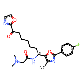 CN(C)CC(=O)N[C@@H](CCCCCC(=O)c1ncco1)c1oc(-c2ccc(F)cc2)nc1C#N